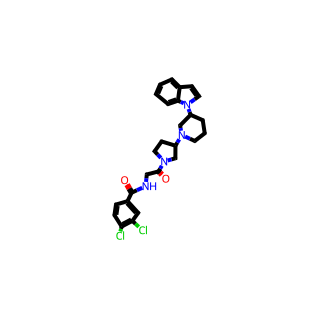 O=C(NCC(=O)N1CCC(N2CCCC(n3ccc4ccccc43)C2)C1)c1ccc(Cl)c(Cl)c1